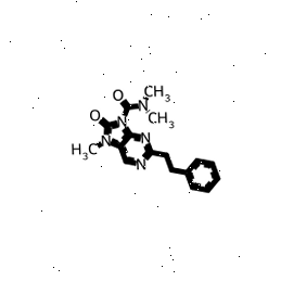 CN(C)C(=O)n1c(=O)n(C)c2cnc(CCc3ccccc3)nc21